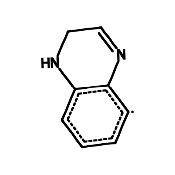 [c]1cccc2c1N=CCN2